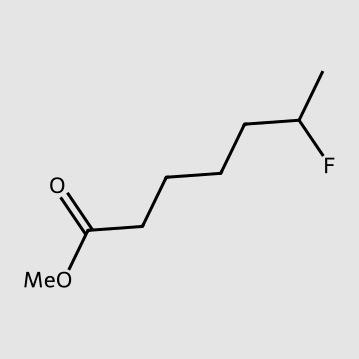 COC(=O)CCCCC(C)F